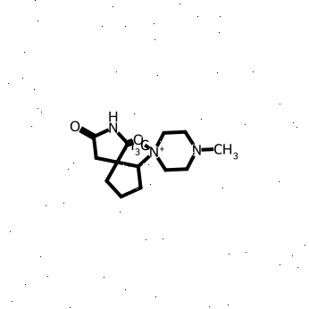 CN1CC[N+](C)(C2CCCC23CC(=O)NC3=O)CC1